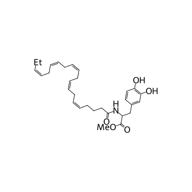 CC/C=C\C/C=C\C/C=C\C/C=C\C/C=C\CCCC(=O)NC(Cc1ccc(O)c(O)c1)C(=O)OC